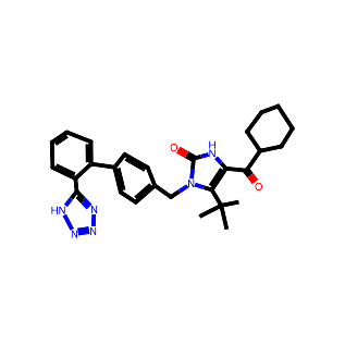 CC(C)(C)c1c(C(=O)C2CCCCC2)[nH]c(=O)n1Cc1ccc(-c2ccccc2-c2nnn[nH]2)cc1